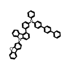 c1ccc(-c2ccc(-c3ccc(N(c4ccccc4)c4cccc(-c5cccc6c5c5ccccc5n6-c5ccc6c(c5)oc5ccccc56)c4)cc3)cc2)cc1